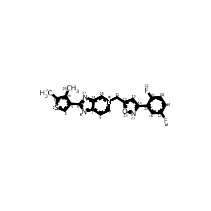 Cc1scc(-c2nc3ccn(Cc4cc(-c5cc(F)ccc5F)no4)cc-3n2)c1C